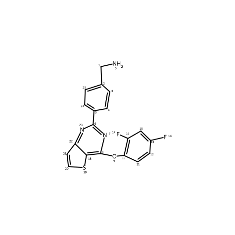 NCc1ccc(-c2nc(Oc3ccc(F)cc3F)c3sccc3n2)cc1